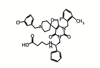 Cc1cccc(F)c1Cn1c2c(c(=O)n(C[C@H](NCCCC(=O)O)c3ccccc3)c1=O)C1(CCN(Cc3cccc(Cl)c3)CC1)OC2